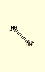 C[C@@H]1CC[C@@H](c2nc3ccc(-c4ccc5cc(-c6ccc7cc(-c8ccc9nc([C@@H]%10C[C@H]%11CC%11N%10)[nH]c9c8)ccc7c6)ccc5c4)cc3[nH]2)N1